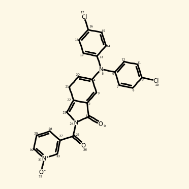 O=C1C2=CC(N(c3ccc(Cl)cc3)c3ccc(Cl)cc3)=CCC2=CN1C(=O)c1ccc[n+]([O-])c1